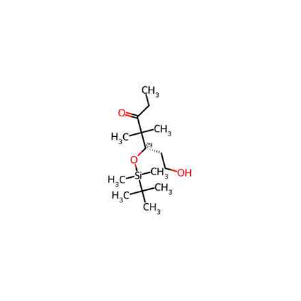 CCC(=O)C(C)(C)[C@H](CCO)O[Si](C)(C)C(C)(C)C